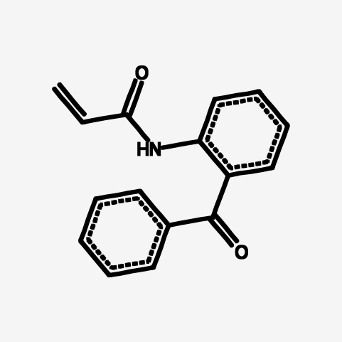 C=CC(=O)Nc1ccccc1C(=O)c1ccccc1